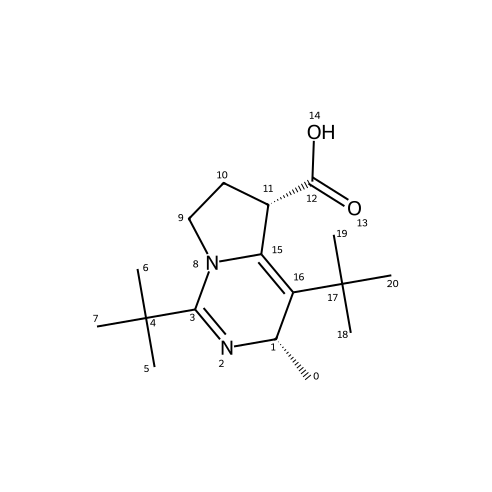 C[C@@H]1N=C(C(C)(C)C)N2CC[C@H](C(=O)O)C2=C1C(C)(C)C